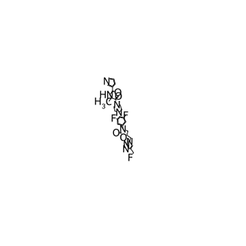 CC(NC(=O)c1cccnc1)C(=O)N1CCN(c2c(F)cc(N3CC(Cn4cc(CF)nn4)OC3=O)cc2F)CC1